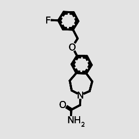 NC(=O)CN1CCc2ccc(OCc3cccc(F)c3)cc2CC1